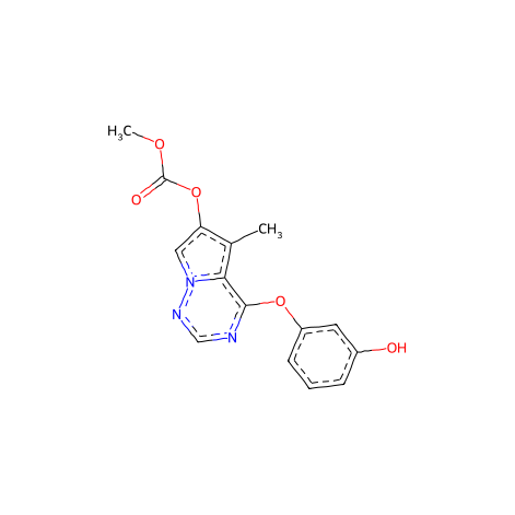 COC(=O)Oc1cn2ncnc(Oc3cccc(O)c3)c2c1C